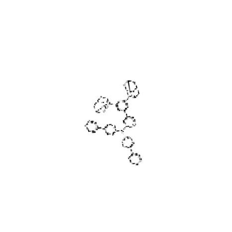 c1ccc(-c2ccc(N(c3ccc(-c4ccccc4)cc3)c3cccc(-c4cc(C5C6CC7CC(C6)CC5C7)cc(C5C6CC7CC(C6)CC5C7)c4)c3)cc2)cc1